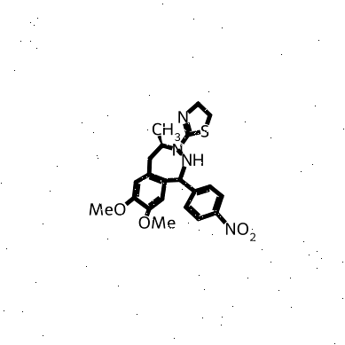 COc1cc2c(cc1OC)C(c1ccc([N+](=O)[O-])cc1)NN(C1=NCCS1)[C@H](C)C2